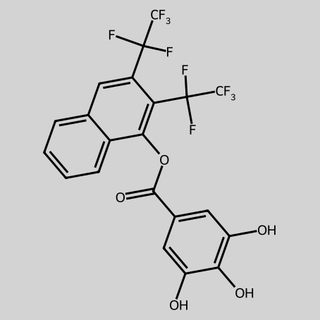 O=C(Oc1c(C(F)(F)C(F)(F)F)c(C(F)(F)C(F)(F)F)cc2ccccc12)c1cc(O)c(O)c(O)c1